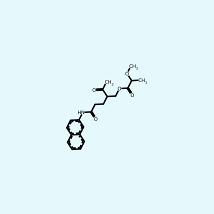 COC(C)C(=O)OCC(CCC(=O)Nc1ccc2ccccc2c1)C(C)=O